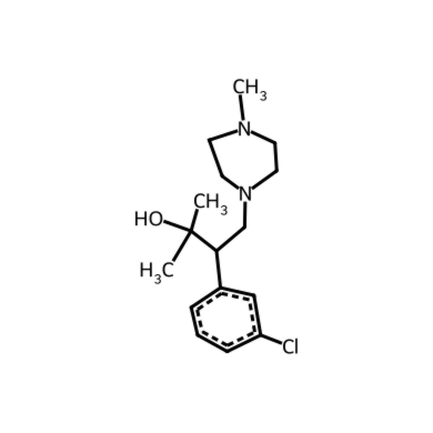 CN1CCN(CC(c2cccc(Cl)c2)C(C)(C)O)CC1